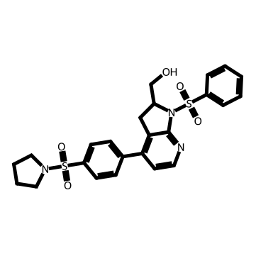 O=S(=O)(c1ccc(-c2ccnc3c2CC(CO)N3S(=O)(=O)c2ccccc2)cc1)N1CCCC1